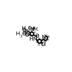 CC(=O)N(C)c1cc(C(=O)Nc2ccc(Cl)c(-c3ccccn3)c2)ccc1CS(C)(=O)=O